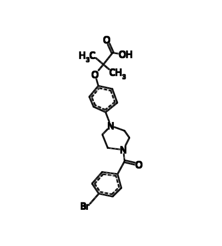 CC(C)(Oc1ccc(N2CCN(C(=O)c3ccc(Br)cc3)CC2)cc1)C(=O)O